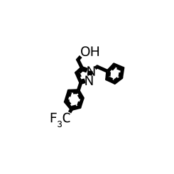 OCc1cc(-c2ccc(C(F)(F)F)cc2)nn1Cc1ccccc1